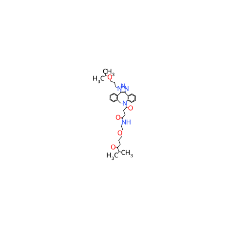 CC(C)OCCCn1nnc2c1-c1ccccc1CN(C(=O)CCC(=O)NCCOCCCC(=O)C(C)C)c1ccccc1-2